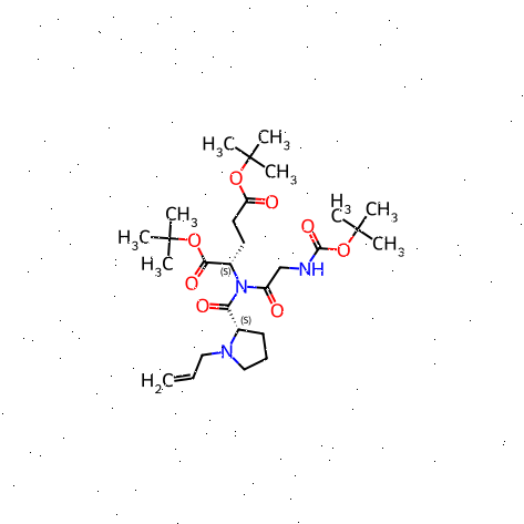 C=CCN1CCC[C@H]1C(=O)N(C(=O)CNC(=O)OC(C)(C)C)[C@@H](CCC(=O)OC(C)(C)C)C(=O)OC(C)(C)C